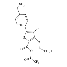 Cc1c(-c2ccc(CN)cc2)sc(C(=O)OC(=O)C(F)(F)F)c1OCC(=O)O